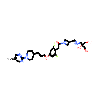 CCCc1cnc(N2CCC(CCCOc3cc(F)c(CC(=O)N4CC(CNCC(O)(CO)CO)C4)c(F)c3)CC2)nc1